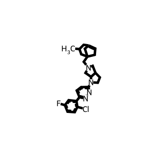 CC1CC2=CCC(CN3CC4CCN(c5ccc(-c6cc(F)ccc6Cl)nn5)C4C3)(C2)C1